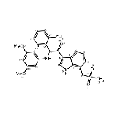 COc1cc(NC(C(=O)c2c[nH]c3c(CS(C)(=O)=O)cccc23)c2ncccc2C)cc(OC)c1